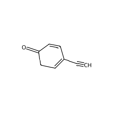 C#CC1=CCC(=O)C=C1